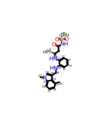 CCC[C@@H](CC(=O)NS(=O)(=O)C(C)(C)C)Nc1ccccc1NCc1cn(C)c2cccc(C)c12